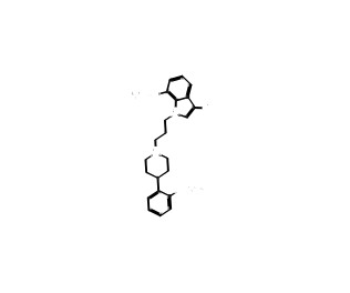 COc1ccccc1C1CCN(CCCn2cc(C(C)=O)c3cccc(OC)c32)CC1